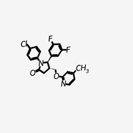 Cc1ccnc(OC[C@@H]2CC(=O)N(c3ccc(Cl)cc3)[C@H]2c2cc(F)cc(F)c2)c1